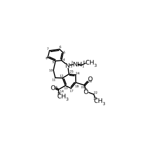 CCNN1c2ccccc2CCc2c(C(C)=O)cc(C(=O)OCC)cc21